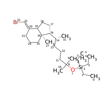 CC[Si](CC)(CC)OC(C)(C)CCC[C@@H](C)[C@H]1CCC2/C(=C/Br)CCC[C@@]21C